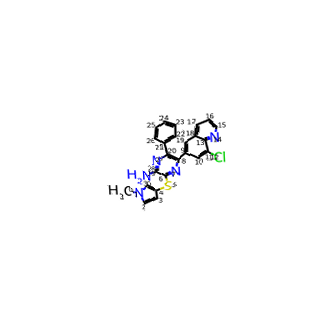 Cn1ccc(Sc2nc(-c3cc(Cl)c4ncccc4c3)c(-c3ccccc3)nc2N)c1